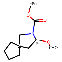 CC(C)(C)OC(=O)N1C[Si]2(CCCC2)C[C@H]1OC=O